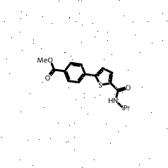 COC(=O)c1ccc(-c2ccc(C(=O)NC(C)C)s2)cc1